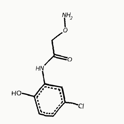 NOCC(=O)Nc1cc(Cl)ccc1O